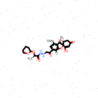 COc1cc(C(=O)CNNC(=O)[C@@H](C)OC2CCCCO2)c(Cl)c2c1C(=O)[C@@]1(O2)C(O)=CC(=O)C[C@H]1C